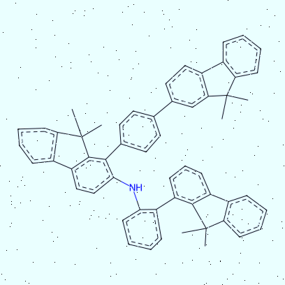 CC1(C)c2ccccc2-c2ccc(-c3ccc(-c4c(Nc5ccccc5-c5cccc6c5C(C)(C)c5ccccc5-6)ccc5c4C(C)(C)c4ccccc4-5)cc3)cc21